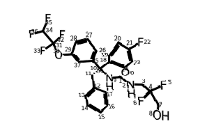 O=C(NCC(F)(F)CO)N[C@](Cc1ccccc1)(c1ccc(F)cc1)c1cccc(OC(F)(F)C(F)F)c1